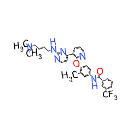 Cc1cc(NC(=O)c2cccc(C(F)(F)F)c2)ccc1Oc1ncccc1-c1ccnc(NCCCCN(C)C)n1